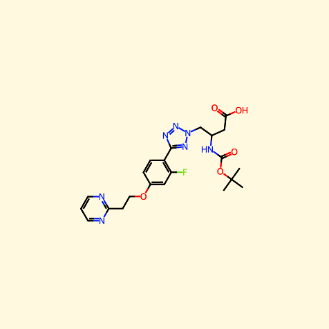 CC(C)(C)OC(=O)NC(CC(=O)O)Cn1nnc(-c2ccc(OCCc3ncccn3)cc2F)n1